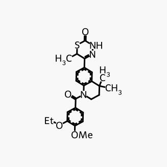 CCOc1cc(C(=O)N2CCC(C)(C)c3cc(C4=NNC(=O)SC4C)ccc32)ccc1OC